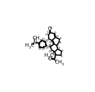 CC(=O)C1CCC2C3CCC4=CC(=O)CCC4=C3[C@@H](c3ccc(N(C)C)cc3)C[C@]12C